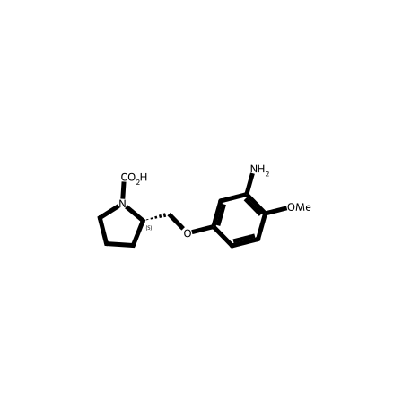 COc1ccc(OC[C@@H]2CCCN2C(=O)O)cc1N